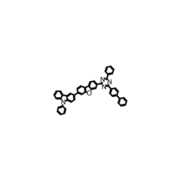 c1ccc(-c2ccc(-c3nc(-c4ccccc4)nc(-c4ccc5c(c4)oc4cc(-c6ccc7c(c6)c6ccccc6n7-c6ccccc6)ccc45)n3)cc2)cc1